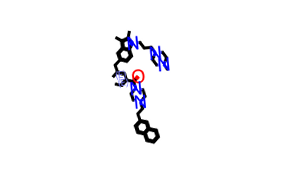 C/C=C(\C=C(/C)Cc1ccc2c(c1)c(C)c(C)n2CCCN1CCN(C)CC1)C(=O)N1CCN(CCc2ccc3ccccc3c2)CC1